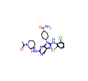 CC(=O)N1CCC[C@@H](Nc2ncc3nc(Nc4c(Cl)cccc4Cl)n([C@H]4CC[C@@H](C(N)=O)CC4)c3n2)C1